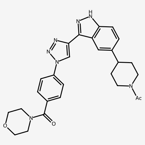 CC(=O)N1CCC(c2ccc3[nH]nc(-c4cn(-c5ccc(C(=O)N6CCOCC6)cc5)nn4)c3c2)CC1